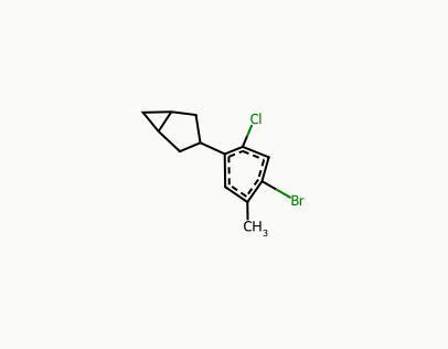 Cc1cc(C2CC3CC3C2)c(Cl)cc1Br